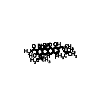 B=C1C(C(N)=O)=C(O)[C@@H](N(C)C)[C@@H]2C[C@@H]3Cc4c(F)cc(CN(C)CC(C)(C)C)c(O)c4C(=O)C3=C(O)[C@]12O